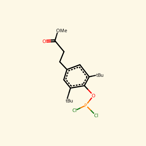 COC(=O)CCc1cc(C(C)(C)C)c(OP(Cl)Cl)c(C(C)(C)C)c1